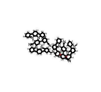 Cn1c2ccccc2c2c1ccc1c3ccccc3n(-c3cc(C#N)c(-n4c5ccccc5c5ccc6c(c7ccccc7n6Cc6ccc7c(c6)c6ccc8c9ccccc9n(-c9cc(-c%10cccc(C#N)c%10)c(-n%10c%11ccccc%11c%11ccc%12c%13ccccc%13n(C)c%12c%11%10)cc9C#N)c8c6n7C)c54)cc3-c3cccc(C#N)c3)c12